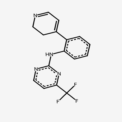 FC(F)(F)c1ccnc(Nc2ccccc2C2=CC=NCC2)n1